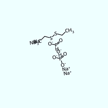 CCSSCC.O=[PH]([O-])[O-].O=[PH]([O-])[O-].[Na+].[Na+].[Na+].[Na+]